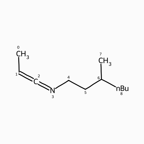 CC=C=NCCC(C)CCCC